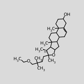 CCOCC(C)(C)CCC1(C)OC2CC3C4CC=C5CC(O)CCC5(C)C4CCC3(C)C2[C@@H]1C